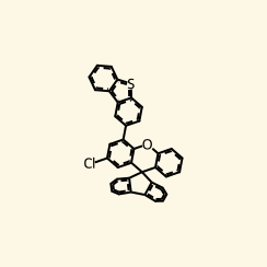 Clc1cc(-c2ccc3sc4ccccc4c3c2)c2c(c1)C1(c3ccccc3O2)c2ccccc2-c2ccccc21